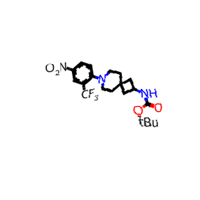 CC(C)(C)OC(=O)NC1CC2(CCN(c3ccc([N+](=O)[O-])cc3C(F)(F)F)CC2)C1